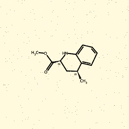 COC(=O)[C@@H]1C[C@H](C)c2ccccc2N1